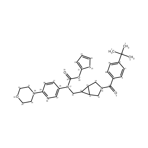 CC(C)(C)c1ccc(C(=O)N2CC3C(C2)C3CN(C(=O)Oc2cccs2)c2ccc(N3CCOCC3)nc2)cc1